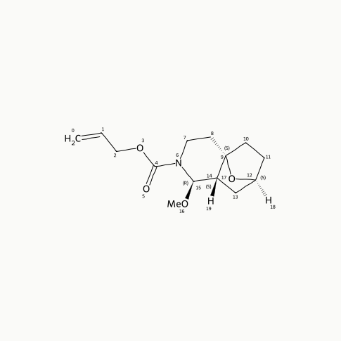 C=CCOC(=O)N1CC[C@@]23CC[C@@H](C[C@@H]2[C@H]1OC)O3